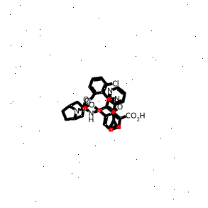 O=C(O)c1cccc(CNC(=O)N2C3CCC2CC(OCc2c(-c4c(Cl)cccc4Cl)noc2C2CC2)C3)c1-c1cccnc1